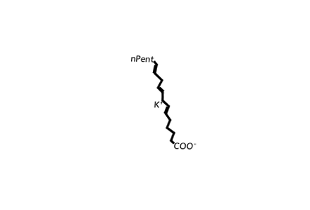 CCCCCC=CCC=CCC=CCCCCC(=O)[O-].[K+]